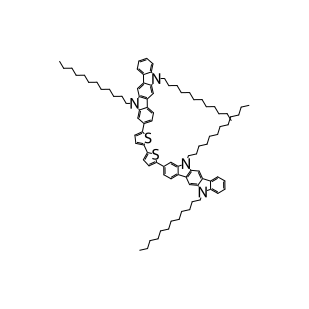 CCCCCCCCCCCCn1c2ccccc2c2cc3c(cc21)c1ccc(-c2ccc(-c4ccc(-c5ccc6c7cc8c(cc7n(CCCCCCCCCCCC)c6c5)c5ccccc5n8CCCCCCCCCCCC)s4)s2)cc1n3CCCCCCCCCCCC